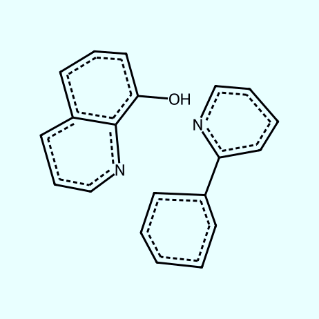 Oc1cccc2cccnc12.c1ccc(-c2ccccn2)cc1